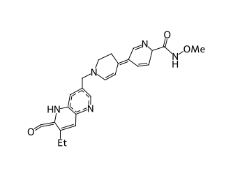 CCC1=Cc2ncc(CN3C=CC(=C4C=CC(C(=O)NOC)N=C4)CC3)cc2NC1=C=O